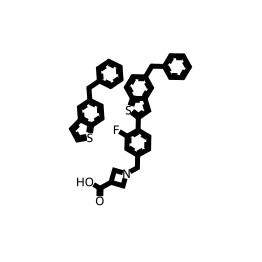 O=C(O)C1CN(Cc2ccc(-c3cc4cc(Cc5ccccc5)ccc4s3)c(F)c2)C1.c1ccc(Cc2ccc3sccc3c2)cc1